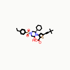 CCc1ccc(S(=O)(=O)N2CC(=O)N(c3cc(C#CC(C)(C)C)sc3C(=O)O)[C@H](C3CCCCC3)C2)cc1